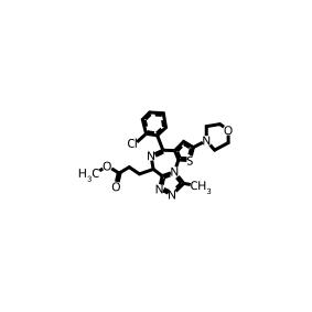 COC(=O)CCC1N=C(c2ccccc2Cl)c2cc(N3CCOCC3)sc2-n2c(C)nnc21